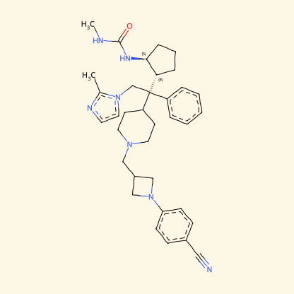 CNC(=O)N[C@H]1CCC[C@@H]1C(Cn1ccnc1C)(c1ccccc1)C1CCN(CC2CN(c3ccc(C#N)cc3)C2)CC1